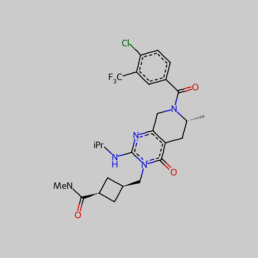 CNC(=O)[C@H]1C[C@@H](Cn2c(NC(C)C)nc3c(c2=O)C[C@@H](C)N(C(=O)c2ccc(Cl)c(C(F)(F)F)c2)C3)C1